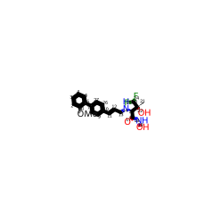 COc1ccccc1-c1ccc(/C=C/CN[C@H](C(=O)NO)[C@](C)(O)C(F)F)cc1